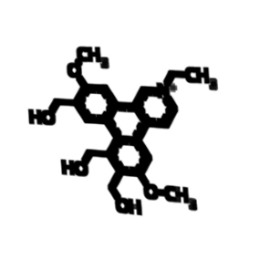 CC[n+]1ccc2c(c1)c1cc(OC)c(CO)cc1c1c(CO)c(CO)c(OC)cc21